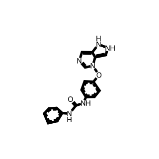 O=C(Nc1ccccc1)Nc1ccc(ON2C=NC=C3NNC=C32)cc1